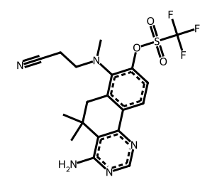 CN(CCC#N)c1c(OS(=O)(=O)C(F)(F)F)ccc2c1CC(C)(C)c1c(N)ncnc1-2